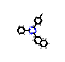 Cc1ccc(-c2nc(-c3ccccc3)nc(-c3ccc4ccccc4c3)n2)cc1